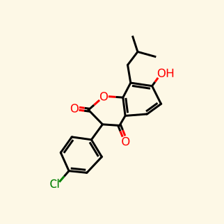 CC(C)Cc1c(O)ccc2c1OC(=O)C(c1ccc(Cl)cc1)C2=O